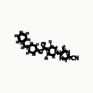 Cc1nc(C#N)cnc1N1C[C@@H](C)N(C(=O)OC2CCN(Cc3ccccc3)CC2)[C@@H](C)C1